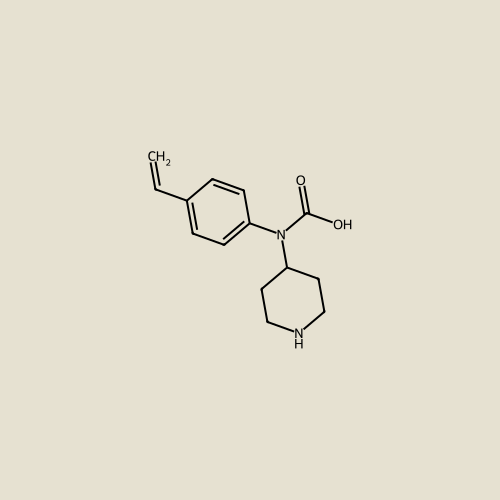 C=Cc1ccc(N(C(=O)O)C2CCNCC2)cc1